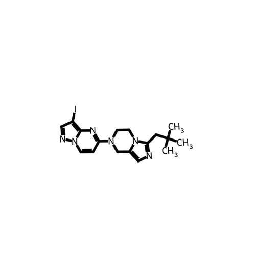 CC(C)(C)Cc1ncc2n1CCN(c1ccn3ncc(I)c3n1)C2